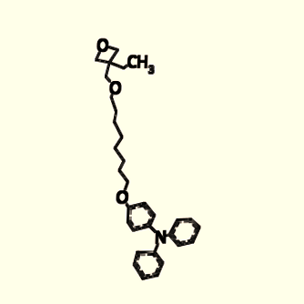 CCC1(COCCCCCCCCOc2ccc(N(c3ccccc3)c3ccccc3)cc2)COC1